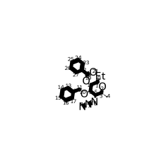 CC[C]1O[C@H](C)[C@@H](N=[N+]=[N-])[C@H](OCc2ccccc2)[C@@H]1OC(=O)c1ccccc1